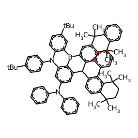 CC(C)(C)c1ccc(N2c3ccc(C(C)(C)C)cc3B3c4cc5c(cc4C(c4ccc6c(c4-c4ccccc4)C(C)(C)CCC6(C)C)c4cc(N(c6ccccc6)c6ccccc6)cc2c43)C(C)(C)c2ccccc2C5(C)C)cc1